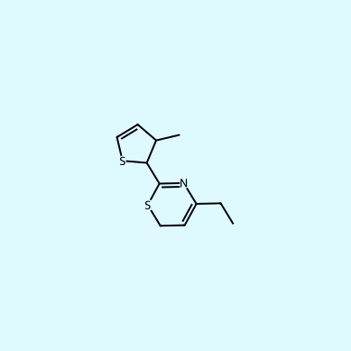 CCC1=CCSC(C2SC=CC2C)=N1